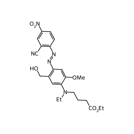 CCOC(=O)CCCN(CC)c1cc(CO)c(N=Nc2ccc([N+](=O)[O-])cc2C#N)cc1OC